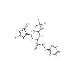 CC1CN(CCC(NC(=O)OC(C)(C)C)C(=O)OCc2ccccc2)C(=O)O1